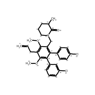 C=CCc1c(OC)c(CN2CCCC(C)C2=O)c(-c2ccc(Cl)cc2)c(-c2cccc(Cl)c2)c1OC